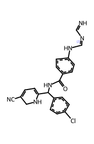 N#CC1=CC=C(C(NC(=O)c2ccc(N/C=N\C=N)cc2)c2ccc(Cl)cc2)NC1